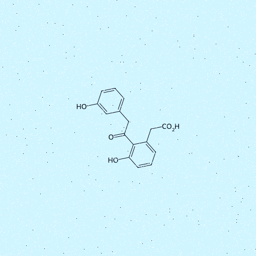 O=C(O)Cc1cccc(O)c1C(=O)Cc1cccc(O)c1